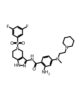 CN(CCN1CCCCC1)c1ccc(C(=O)Nc2n[nH]c3c2CN(S(=O)(=O)c2cc(F)cc(F)c2)CC3)c(N)c1